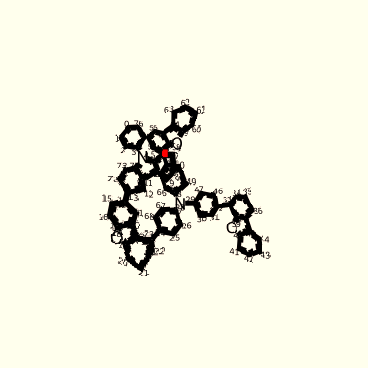 c1ccc(-n2c3ccccc3c3cc(-c4ccc5oc6cccc(-c7ccc(N(c8ccc(-c9cccc%10c9oc9ccccc9%10)cc8)c8ccc(-c9cccc%10c9oc9ccccc9%10)cc8)cc7)c6c5c4)ccc32)cc1